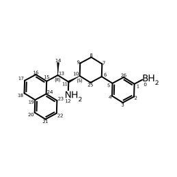 Bc1cccc(C2CCC[C@H](C(N)[C@H](C)c3cccc4ccccc34)C2)c1